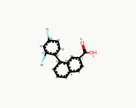 O=C(O)c1ccc2cccc(-c3ccc(F)cc3F)c2c1